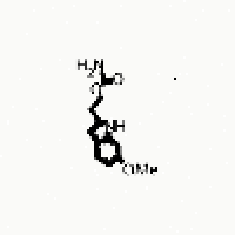 COc1ccc2cc(CCOC(N)=O)[nH]c2c1